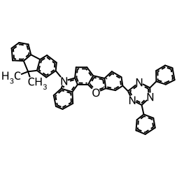 CC1(C)c2ccccc2-c2ccc(-n3c4ccccc4c4c5oc6cc(-c7nc(-c8ccccc8)nc(-c8ccccc8)n7)ccc6c5ccc43)cc21